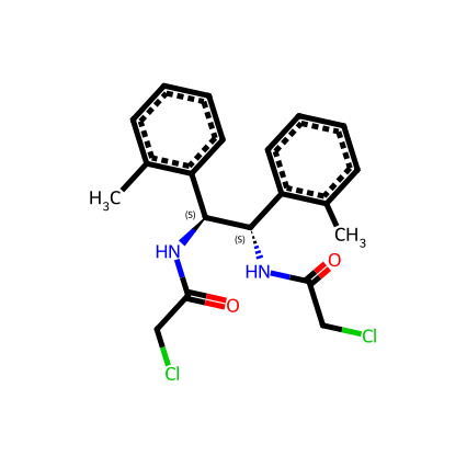 Cc1ccccc1[C@H](NC(=O)CCl)[C@@H](NC(=O)CCl)c1ccccc1C